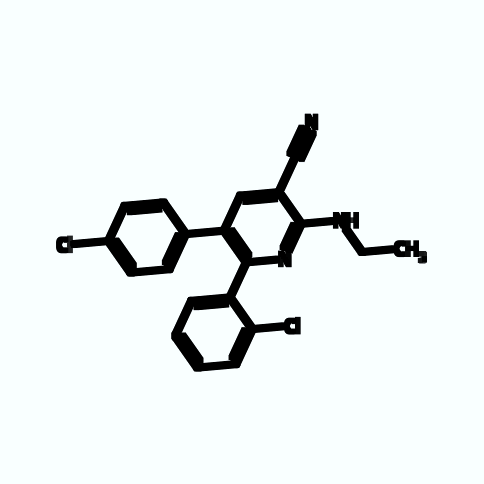 CCNc1nc(-c2ccccc2Cl)c(-c2ccc(Cl)cc2)cc1C#N